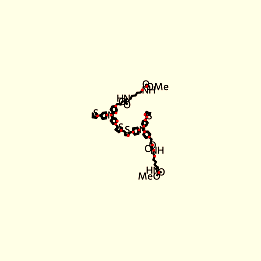 COC(=O)NCCCCCCNC(=O)OCCc1ccc(N(c2ccc(-c3cccs3)cc2)c2ccc(-c3ccc(-c4ccc(-c5ccc(N(c6ccc(CCOC(=O)NCCCCCCNC(=O)OC)cc6)c6ccc(-c7cccs7)cc6)cc5)s4)s3)cc2)cc1